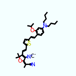 [C-]#[N+]C1=C(/C=C/c2ccc(/C=C/c3ccc(N(CCCC)CCCC)cc3OC(C)C)s2)C(C)(C)O/C1=C(\C)C#N